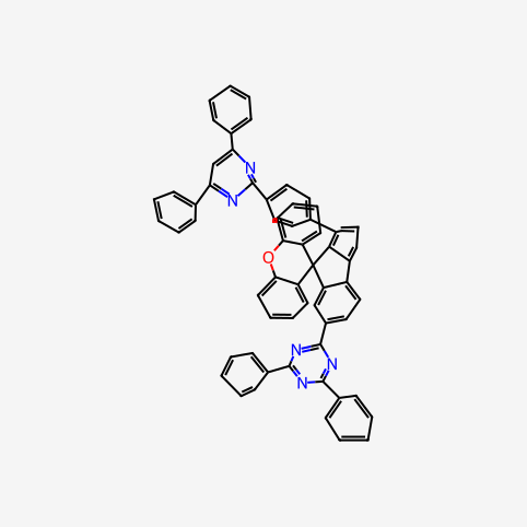 c1ccc(-c2cc(-c3ccccc3)nc(-c3ccc(-c4cccc5c4C4(c6ccccc6Oc6ccccc64)c4cc(-c6nc(-c7ccccc7)nc(-c7ccccc7)n6)ccc4-5)cc3)n2)cc1